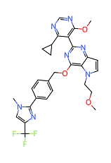 COCCn1ccc2nc(-c3c(OC)ncnc3C3CC3)nc(OCc3ccc(-c4nc(C(F)(F)F)cn4C)cc3)c21